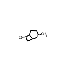 CCN1CC2CN(C)CCC21